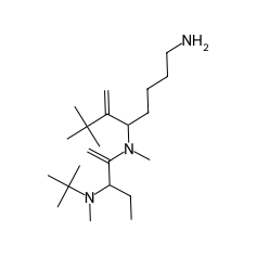 C=C(C(CC)N(C)C(C)(C)C)N(C)C(CCCCN)C(=C)C(C)(C)C